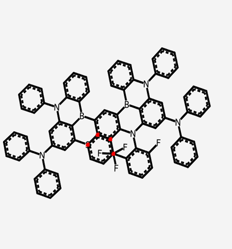 Fc1cccc(-c2ccccc2)c1N1c2cc(N(c3ccccc3)c3ccccc3)cc3c2B(c2ccccc2N3c2ccccc2)c2cc3c(c(C(F)(F)F)c21)Sc1cc(N(c2ccccc2)c2ccccc2)cc2c1B3c1ccccc1N2c1ccccc1